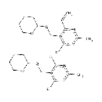 C=Cc1nc(C)cc(Cl)c1COC1CCCCO1.Cc1cc(Cl)c(COC2CCCCO2)c(Cl)n1